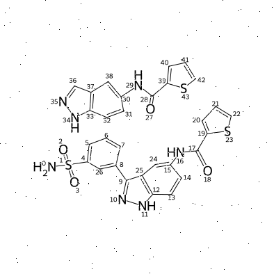 NS(=O)(=O)c1cccc(-c2n[nH]c3ccc(NC(=O)c4cccs4)cc23)c1.O=C(Nc1ccc2[nH]ncc2c1)c1cccs1